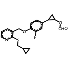 O=COC1CC1c1ccc(OCc2cccnc2SCC2CC2)c(F)c1